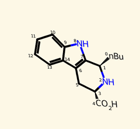 CCCC[C@H]1N[C@@H](C(=O)O)Cc2c1[nH]c1ccccc21